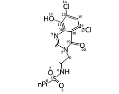 CCCS(=O)(=O)NCCn1cnc2c(O)c(Cl)cc(Cl)c2c1=O